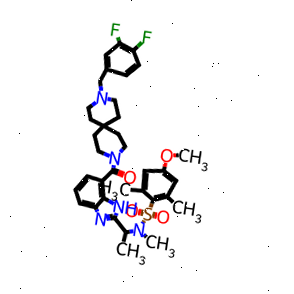 COc1cc(C)c(S(=O)(=O)N(C)C(C)c2nc3cccc(C(=O)N4CCC5(CCN(Cc6ccc(F)c(F)c6)CC5)CC4)c3[nH]2)c(C)c1